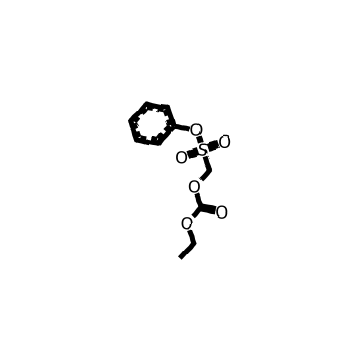 CCOC(=O)OCS(=O)(=O)Oc1ccccc1